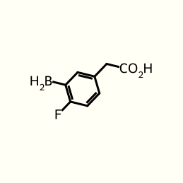 Bc1cc(CC(=O)O)ccc1F